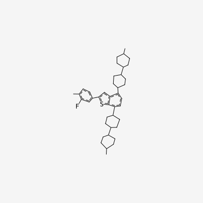 Cc1ccc(-c2cc3c(C4CCC(C5CCC(C)CC5)CC4)ccc(C4CCC(C5CCC(C)CC5)CC4)c3s2)cc1F